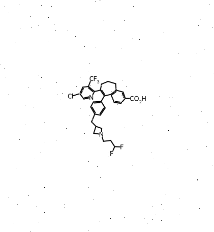 O=C(O)c1ccc2c(c1)CCCC(c1ncc(Cl)cc1C(F)(F)F)=C2c1ccc(CC2CN(CCC(F)F)C2)cc1